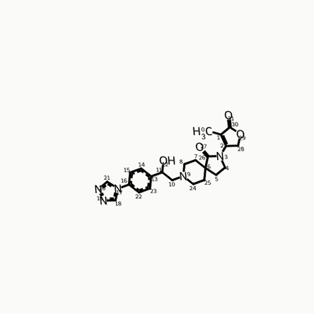 CC1=C(N2CCC3(CCN(CC(O)c4ccc(-n5cnnc5)cc4)CC3)C2=O)COC1=O